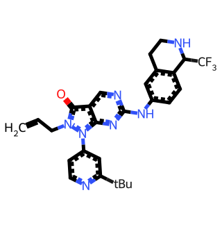 C=CCn1c(=O)c2cnc(Nc3ccc4c(c3)CCNC4C(F)(F)F)nc2n1-c1ccnc(C(C)(C)C)c1